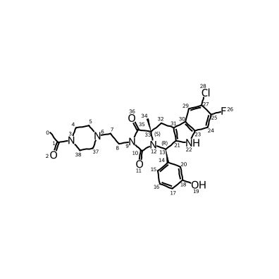 CC(=O)N1CCN(CCN2C(=O)N3[C@H](c4cccc(O)c4)c4[nH]c5cc(F)c(Cl)cc5c4C[C@@]3(C)C2=O)CC1